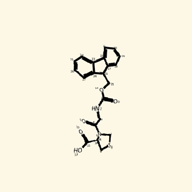 O=C(NCC(=O)N1CSC[C@H]1C(=O)O)OCC1c2ccccc2-c2ccccc21